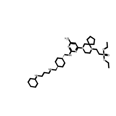 CCOP(=O)(CCN1CCN(c2cc(N)nc(NC[C@H]3CC[C@H](CNCCCNC4CCCCC4)CC3)n2)CC12CCCC2)OCC